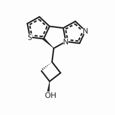 O[C@H]1C[C@H]([C@H]2c3sccc3-c3cncn32)C1